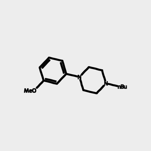 [CH2]CCCN1CCN(c2cccc(OC)c2)CC1